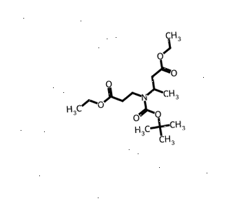 CCOC(=O)CCN(C(=O)OC(C)(C)C)C(C)CC(=O)OCC